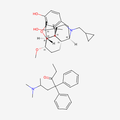 CCC(=O)C(CC(C)N(C)C)(c1ccccc1)c1ccccc1.CO[C@@]12CC[C@@]3(C[C@@H]1[C@](C)(O)C(C)(C)C)[C@H]1Cc4ccc(O)c5c4[C@@]3(CCN1CC1CC1)[C@H]2O5